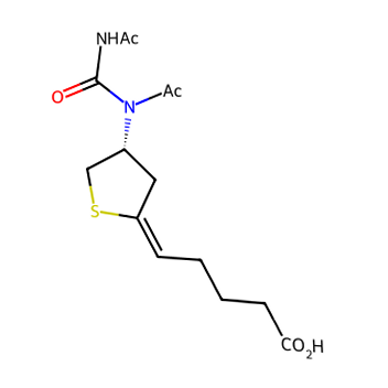 CC(=O)NC(=O)N(C(C)=O)[C@H]1CS/C(=C/CCCC(=O)O)C1